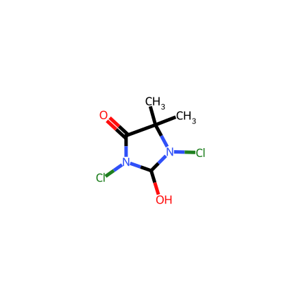 CC1(C)C(=O)N(Cl)C(O)N1Cl